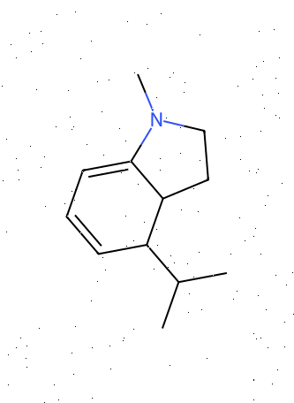 CC(C)C1C=CC=C2C1CCN2C